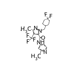 Cc1cc(NC(=O)c2c(C(F)(F)F)c(C)nn2CC2CCC(F)(F)CC2)ccn1